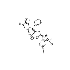 Cc1cc2c(-c3ccccc3)c(CC(=O)Nc3ccc(F)cc3C(F)(F)F)c(=O)oc2cc1Cl